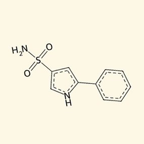 NS(=O)(=O)c1c[nH]c(-c2ccccc2)c1